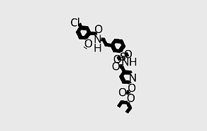 CCC(CC)OC(=O)Oc1ccc(C(=O)NS(=O)(=O)c2cccc(CCNC(=O)c3cc(Cl)ccc3OC)c2)cn1